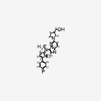 CCc1nc2ccc(N3CCC(CO)C3)nn2c1N(C)c1nc(-c2ccc(F)cc2)cs1